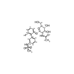 CC(=O)NC1C(O)[C@@H](O)C(CO)O[C@H]1Oc1cccc(F)c1-c1cccc(NS(C)(=O)=O)c1